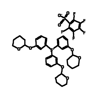 O=S(=O)([O-])c1c(F)c(F)c(F)c(F)c1F.c1cc(OC2CCCCO2)cc([S+](c2cccc(OC3CCCCO3)c2)c2cccc(OC3CCCCO3)c2)c1